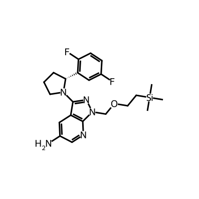 C[Si](C)(C)CCOCn1nc(N2CCC[C@@H]2c2cc(F)ccc2F)c2cc(N)cnc21